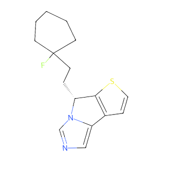 FC1(CC[C@@H]2c3sccc3-c3cncn32)CCCCC1